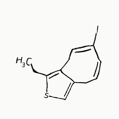 Cc1scc2ccc(I)cc12